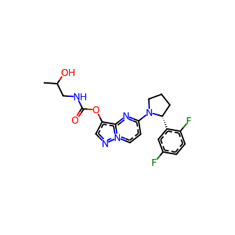 CC(O)CNC(=O)Oc1cnn2ccc(N3CCC[C@@H]3c3cc(F)ccc3F)nc12